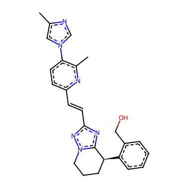 Cc1cn(-c2ccc(/C=C/c3nc4n(n3)CCC[C@@H]4c3ccccc3CO)nc2C)cn1